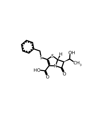 CC(O)[C@H]1C(=O)N2C(C(=O)O)=C(SCc3ccccc3)S[C@H]12